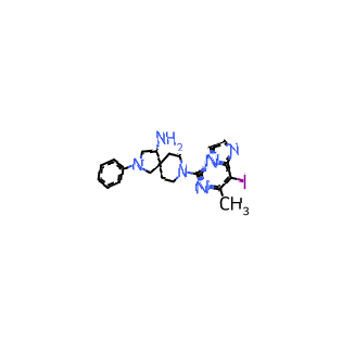 Cc1nc(N2CCC3(CC2)CN(c2ccccc2)C[C@H]3N)n2ccnc2c1I